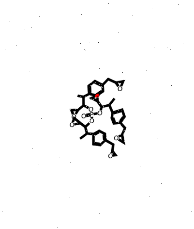 CC(c1ccc(CC2CO2)cc1)C(OP(=O)(OC(C1CO1)C(C)c1ccc(CC2CO2)cc1)OC(C1CO1)C(C)c1ccc(CC2CO2)cc1)C1CO1